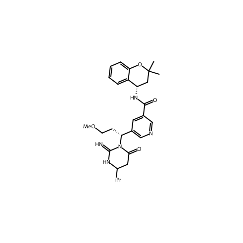 COCC[C@H](c1cncc(C(=O)N[C@H]2CC(C)(C)Oc3ccccc32)c1)N1C(=N)NC(C(C)C)CC1=O